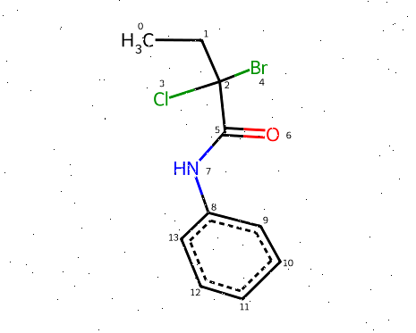 CCC(Cl)(Br)C(=O)Nc1ccccc1